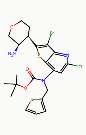 CC(C)(C)OC(=O)N(Cc1cccs1)c1cc(Cl)nc2c(Br)c([C@@H]3CCOC[C@@H]3N)sc12